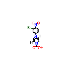 O=C(O)N1C[C@@H]2C[C@H]1CN2c1ccc([N+](=O)[O-])c(Br)c1